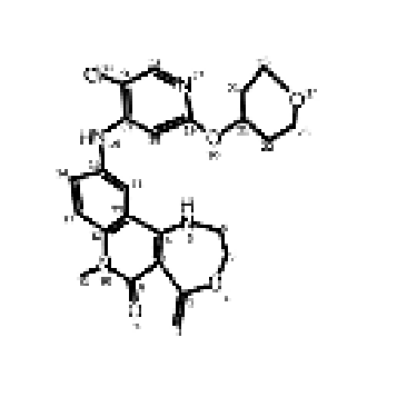 C=C1OCCNc2c1c(=O)n(C)c1ccc(Nc3cc(OC4CCOCC4)ncc3Cl)cc21